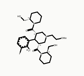 COCCN1C[C@H](C(=O)N2CCCC[C@@H]2CO)C(c2cccc(F)c2C)[C@H](C(=O)N2CCCC[C@H]2CO)C1